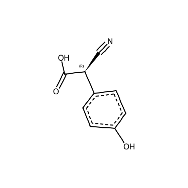 N#C[C@H](C(=O)O)c1ccc(O)cc1